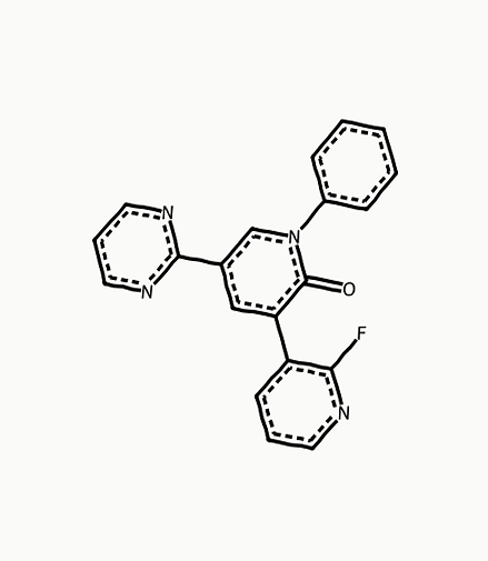 O=c1c(-c2cccnc2F)cc(-c2ncccn2)cn1-c1ccccc1